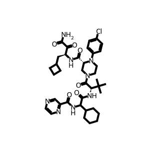 CC(C)(C)[C@H](NC(=O)C(NC(=O)c1cnccn1)C1CCCCC1)C(=O)N1CCN(c2ccc(Cl)cc2)[C@@H](C(=O)N[C@@H](CC2CCC2)C(=O)C(N)=O)C1